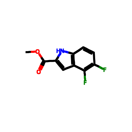 COC(=O)c1cc2c(F)c(F)ccc2[nH]1